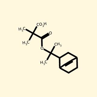 CC(C)(C(=O)O)C(=O)OC(C)(C)C1CC2C=CC1CC2